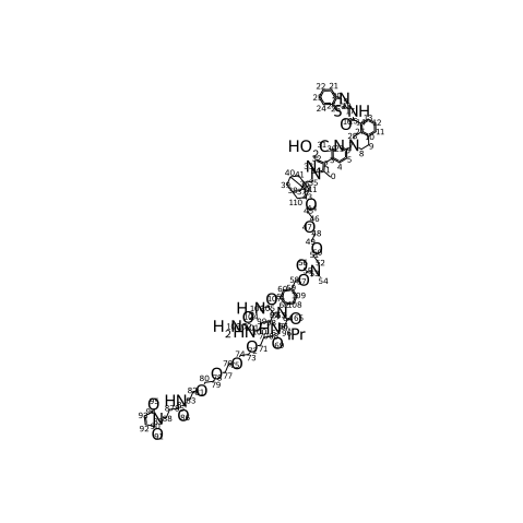 Cc1c(-c2ccc(N3CCc4cccc(C(=O)Nc5nc6ccccc6s5)c4C3)nc2C(=O)O)cnn1CC12CC3CC(C1)CC(OCCOCCOCCN(C)C(=O)OCc1ccc(N(C(=O)[C@@H](NC(=O)CCOCCOCCOCCOCCNC(=O)CCN4C(=O)C=CC4=O)C(C)C)[C@@H](CCCNC(N)=O)C(N)=O)cc1)(C3)C2